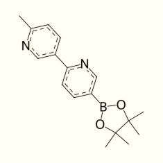 Cc1ccc(-c2ccc(B3OC(C)(C)C(C)(C)O3)cn2)cn1